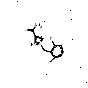 NC(=O)c1cn(Cc2c(F)cccc2F)[nH]1